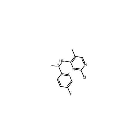 Cc1cnc(Cl)nc1N[C@@H](C)c1ccc(F)cn1